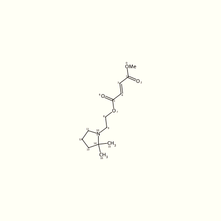 COC(=O)/C=C/C(=O)OCCN1CCCC1(C)C